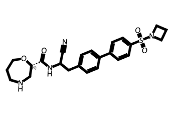 N#CC(Cc1ccc(-c2ccc(S(=O)(=O)N3CCC3)cc2)cc1)NC(=O)[C@@H]1CNCCCO1